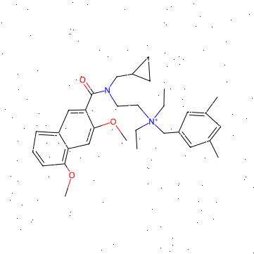 CC[N+](CC)(CCN(CC1CC1)C(=O)c1cc2cccc(OC)c2cc1OC)Cc1cc(C)cc(C)c1